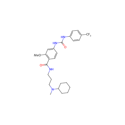 COc1cc(NC(=O)Nc2ccc(C(F)(F)F)cc2)ccc1C(=O)NCCCN(C)C1CCCCC1